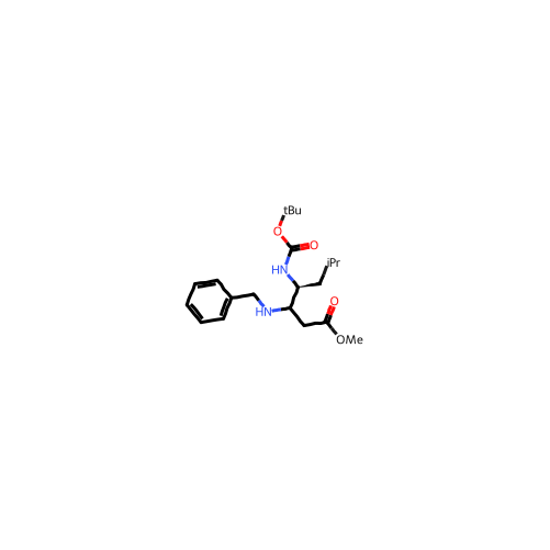 COC(=O)CC(NCc1ccccc1)[C@H](CC(C)C)NC(=O)OC(C)(C)C